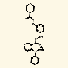 O=C(NNc1cccc(OCC(=O)N2CCOCC2)c1)c1cnccc1N(c1ccccc1)C1CC1